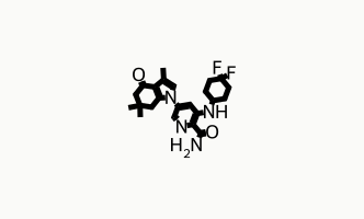 Cc1cn(-c2cnc(C(N)=O)c(NC3CCC(F)(F)CC3)c2)c2c1C(=O)CC(C)(C)C2